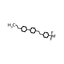 CCCc1ccc(-c2ccc(CCc3ccc(C(F)(F)F)cc3)cc2)cc1